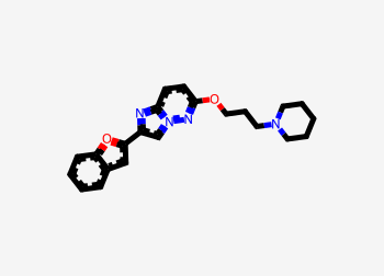 c1ccc2oc(-c3cn4nc(OCCCN5CCCCC5)ccc4n3)cc2c1